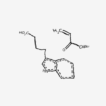 C=CC(=O)OCC(C)C.O=C(O)CCCc1c[nH]c2ccccc12